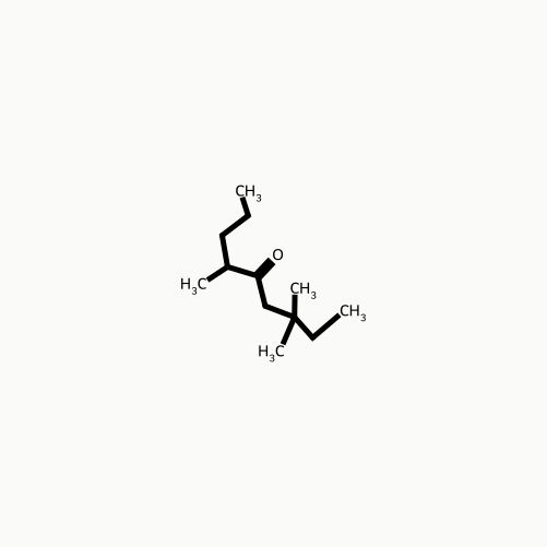 CCCC(C)C(=O)CC(C)(C)CC